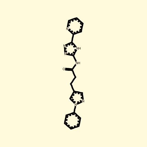 O=C(CCc1cnn(-c2ccccc2)c1)Nc1nnc(-c2ccccn2)[nH]1